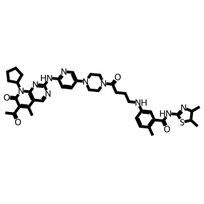 CC(=O)c1c(C)c2cnc(Nc3ccc(N4CCN(C(=O)CCCNc5ccc(C)c(C(=O)NC6=NC(C)C(C)S6)c5)CC4)cn3)nc2n(C2CCCC2)c1=O